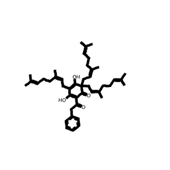 CC(C)=CCCC(C)=CCC1=C(O)C(CC=C(C)CCC=C(C)C)(CC=C(C)CCC=C(C)C)C(=O)C(C(=O)Cc2ccccc2)=C1O